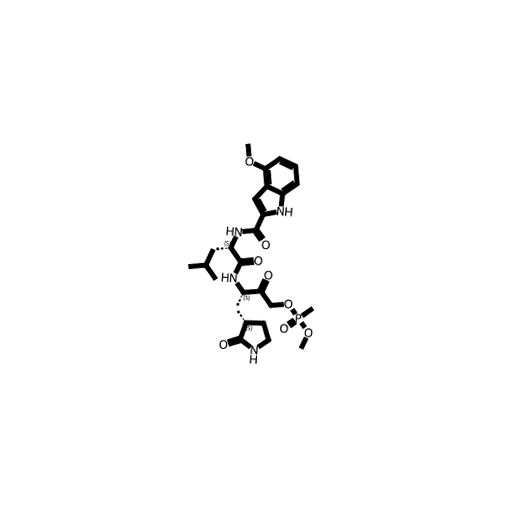 COc1cccc2[nH]c(C(=O)N[C@@H](CC(C)C)C(=O)N[C@@H](C[C@@H]3CCNC3=O)C(=O)COP(C)(=O)OC)cc12